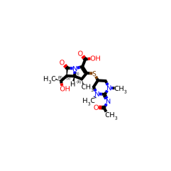 CC(=O)N=C1N(C)CC(SC2=C(C(=O)O)N3C(=O)[C@H]([C@@H](C)O)[C@H]3[C@H]2C)CN1C